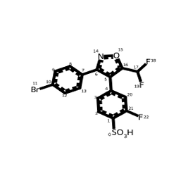 O=S(=O)(O)c1ccc(-c2c(-c3ccc(Br)cc3)noc2C(F)F)cc1F